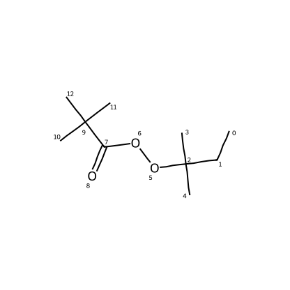 CCC(C)(C)OOC(=O)C(C)(C)C